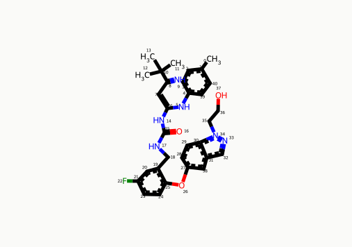 Cc1ccc(N/C(=C\C(=N)C(C)(C)C)NC(=O)NCc2cc(F)ccc2Oc2ccc3c(cnn3CCO)c2)cc1